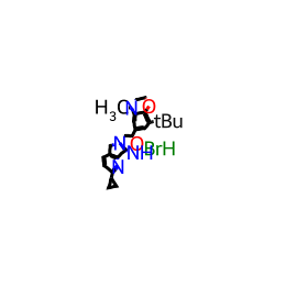 Br.CN1CCOc2c1cc(C(=O)CN1Cc3ccc(C4CC4)nc3C1=N)cc2C(C)(C)C